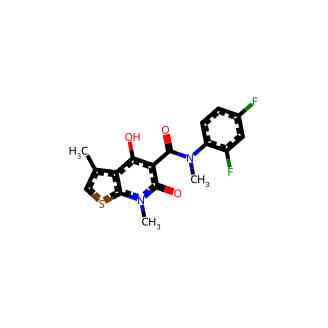 Cc1csc2c1c(O)c(C(=O)N(C)c1ccc(F)cc1F)c(=O)n2C